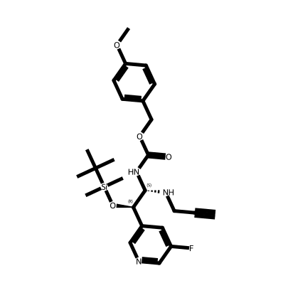 C#CCN[C@@H](NC(=O)OCc1ccc(OC)cc1)[C@H](O[Si](C)(C)C(C)(C)C)c1cncc(F)c1